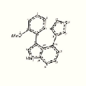 COc1ccccc1-c1c[nH]c2nccc(-c3ccsc3)c12